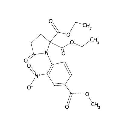 CCOC(=O)C1(C(=O)OCC)CCC(=O)N1c1ccc(C(=O)OC)cc1[N+](=O)[O-]